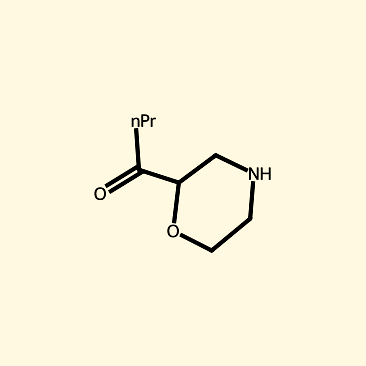 CCCC(=O)C1CNCCO1